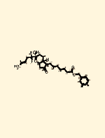 C/C=C/CC(F)(F)[C@@]1(O)CC[C@H]2C(CC(=O)C2CCCCCCC(=O)OCc2ccccc2)O1